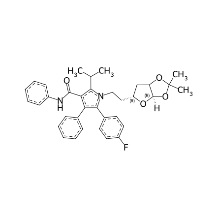 CC(C)c1c(C(=O)Nc2ccccc2)c(-c2ccccc2)c(-c2ccc(F)cc2)n1CC[C@@H]1CC2OC(C)(C)O[C@H]2O1